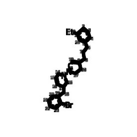 CCc1cccc(CCCC2=CCN(N3CC=CC(Cc4ccccc4Br)C3)CC2)c1